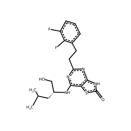 CC(C)C[C@H](CO)Nc1nc(CCc2cccc(F)c2F)nc2[nH]c(=O)sc12